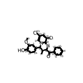 COc1cc(C2C(C)C(C(=O)c3ccccc3)N=C3C(Cl)=CC(Cl)=CN32)ccc1O